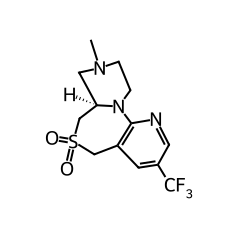 CN1CCN2c3ncc(C(F)(F)F)cc3CS(=O)(=O)C[C@H]2C1